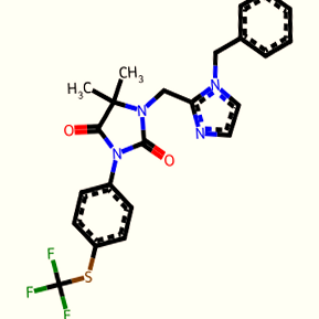 CC1(C)C(=O)N(c2ccc(SC(F)(F)F)cc2)C(=O)N1Cc1nccn1Cc1ccccc1